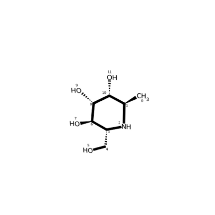 C[C@H]1N[C@H](CO)[C@@H](O)[C@H](O)[C@@H]1O